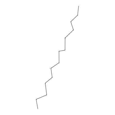 CCCCC[CH]CCCCCCCC